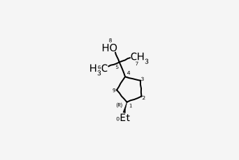 CC[C@@H]1CCC(C(C)(C)O)C1